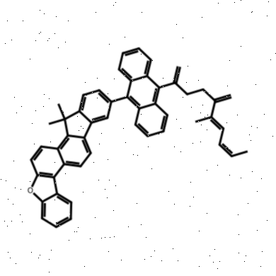 C=C(CCC(=C)c1c2ccccc2c(-c2ccc3c(c2)-c2ccc4c(ccc5oc6ccccc6c54)c2C3(C)C)c2ccccc12)/C(C)=C/C=C\C